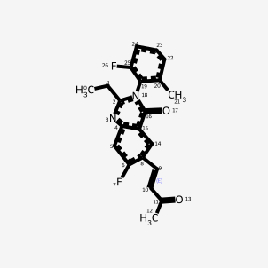 CCc1nc2cc(F)c(/C=C/C(C)=O)cc2c(=O)n1-c1c(C)cccc1F